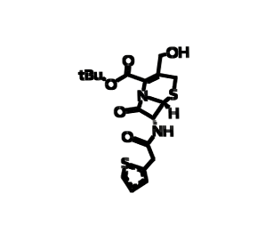 CC(C)(C)OC(=O)C1=C(CO)CS[C@@H]2[C@H](NC(=O)Cc3cccs3)C(=O)N12